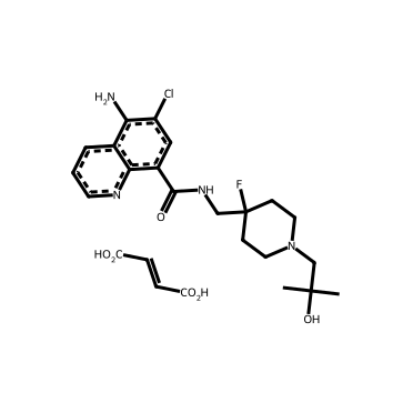 CC(C)(O)CN1CCC(F)(CNC(=O)c2cc(Cl)c(N)c3cccnc23)CC1.O=C(O)/C=C/C(=O)O